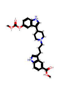 COC(=O)Oc1ccc2[nH]cc(C3CCN(CCCc4c[nH]c5ccc(C(=O)OC)cc45)CC3)c2c1